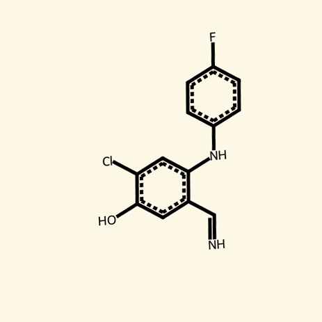 N=Cc1cc(O)c(Cl)cc1Nc1ccc(F)cc1